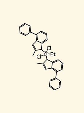 C[CH2][Zr]([Cl])([Cl])([CH]1C(C)=Cc2c(-c3ccccc3)cccc21)[CH]1C(C)=Cc2c(-c3ccccc3)cccc21